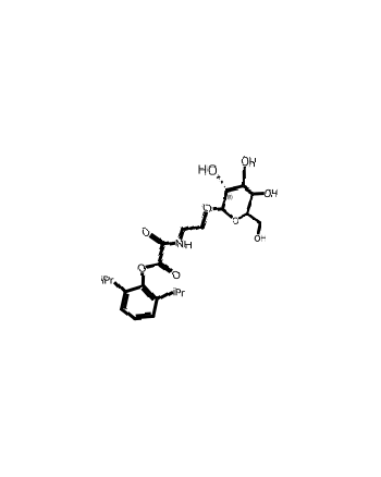 CC(C)c1cccc(C(C)C)c1OC(=O)C(=O)NCCOC1OC(CO)C(O)C(O)[C@H]1O